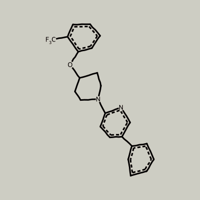 FC(F)(F)c1ccccc1OC1CCN(c2ccc(-c3ccccc3)cn2)CC1